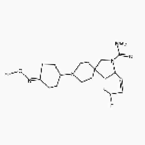 CCON=C1CCC(N2CCC3(CC2)CN(C(=O)NC)C2C=CC(F)CC23)CC1